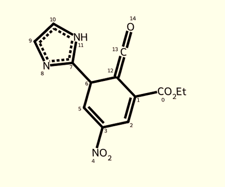 CCOC(=O)C1=CC([N+](=O)[O-])=CC(c2ncc[nH]2)C1=C=O